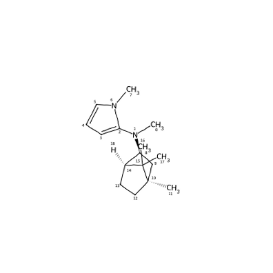 CN(c1cccn1C)[C@H]1C[C@@]2(C)CC[C@@H]1C2(C)C